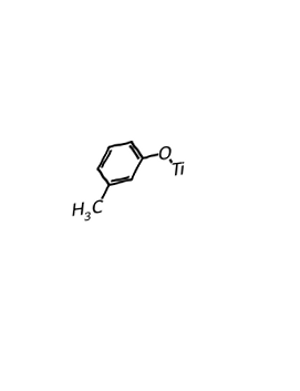 Cc1cccc([O][Ti])c1